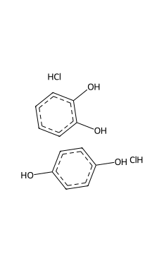 Cl.Cl.Oc1ccc(O)cc1.Oc1ccccc1O